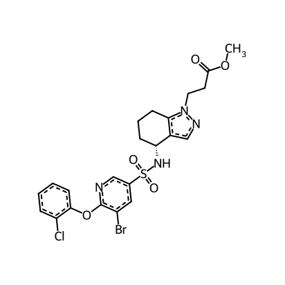 COC(=O)CCn1ncc2c1CCC[C@H]2NS(=O)(=O)c1cnc(Oc2ccccc2Cl)c(Br)c1